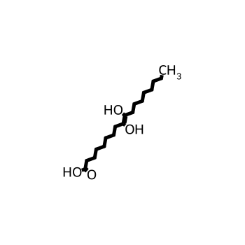 CCCCCCCCC(O)=C(O)CCCCCCCC(=O)O